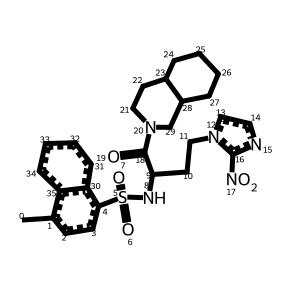 Cc1ccc(S(=O)(=O)NC(CCn2ccnc2[N+](=O)[O-])C(=O)N2CCC3CCCCC3C2)c2ccccc12